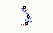 CC(C)c1ccccc1NC(=O)NS/N=C/c1ccc2c(NC(=N)c3ccc(OC(F)(F)F)cc3)nn(C)c2c1